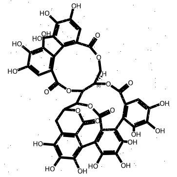 O=C1OC[C@H]2OC(=O)c3cc(O)c(O)c(O)c3-c3c(O)c(O)c(O)c4c3C(=O)OC(C3Cc5c(O)c(O)c(O)c-4c5C(=O)O3)C2OC(=O)c2cc(O)c(O)c(O)c2-c2c1cc(O)c(O)c2O